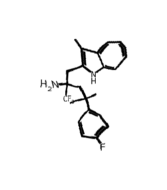 Cc1c(CC(N)(CC(C)(C)c2ccc(F)cc2)C(F)(F)F)[nH]c2ccccc12